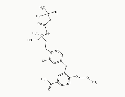 COCOc1ccc(C(C)=O)cc1Sc1ccc(CC[C@@](C)(CO)NC(=O)OC(C)(C)C)c(Cl)c1